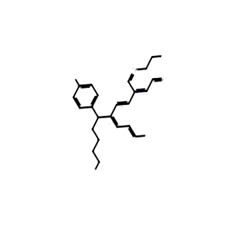 C=C/C=C(\C=N/CCC)/C=C/C(=C\C=C\C)C(CCCCC)c1ccc(C)cc1